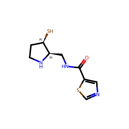 O=C(NC[C@H]1NCC[C@H]1S)c1cncs1